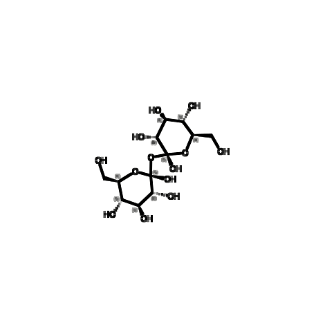 OC[C@H]1O[C@](O)(O[C@@]2(O)O[C@H](CO)[C@@H](O)[C@H](O)[C@H]2O)[C@H](O)[C@@H](O)[C@@H]1O